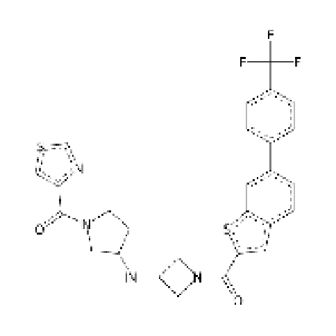 O=C(c1cscn1)N1CC[C@H](NC2CN(C(=O)c3cc4ccc(-c5ccc(C(F)(F)F)cc5)cc4s3)C2)C1